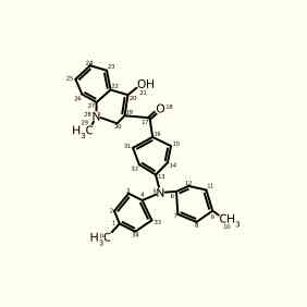 Cc1ccc(N(c2ccc(C)cc2)c2ccc(C(=O)C3=C(O)c4ccccc4N(C)C3)cc2)cc1